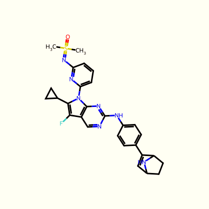 CS(C)(=O)=Nc1cccc(-n2c(C3CC3)c(F)c3cnc(Nc4ccc(C5=CC6CCC5N6)cc4)nc32)n1